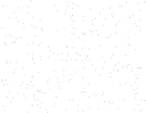 O=C(O)c1nccnc1Nc1ccc(Nc2ccc(C34CC5CC(CC(C5)C3)C4)cc2Cl)cc1